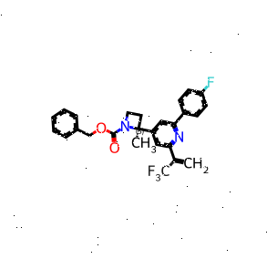 C=C(c1cc([C@]2(C)CCN2C(=O)OCc2ccccc2)cc(-c2ccc(F)cc2)n1)C(F)(F)F